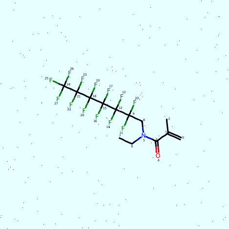 C=C(C)C(=O)N(CC)CC(F)(F)C(F)(F)C(F)(F)C(F)(F)C(F)(F)C(F)(F)F